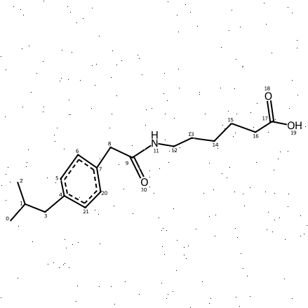 CC(C)Cc1ccc(CC(=O)NCCCCCC(=O)O)cc1